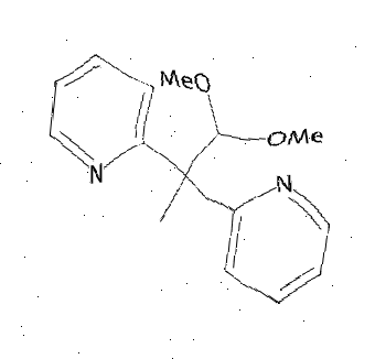 COC(OC)C(C)(c1ccccn1)c1ccccn1